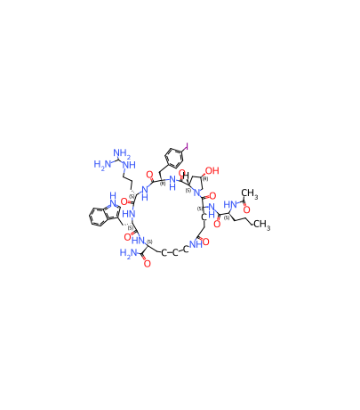 CCCC[C@H](NC(C)=O)C(=O)N[C@H]1CCC(=O)NCCCC[C@@H](C(N)=O)NC(=O)[C@H](Cc2c[nH]c3ccccc23)NC(=O)[C@H](CCCNC(N)N)NC(=O)[C@@H](Cc2ccc(I)cc2)NC(=O)[C@@H]2C[C@@H](O)CN2C1=O